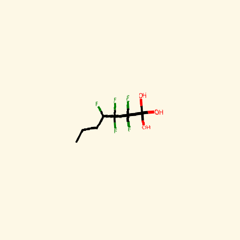 CCCC(F)C(F)(F)C(F)(F)C(O)(O)O